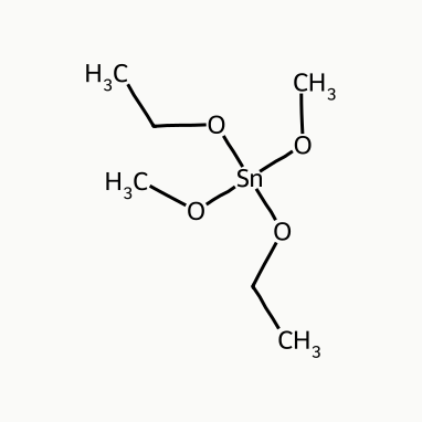 CC[O][Sn]([O]C)([O]C)[O]CC